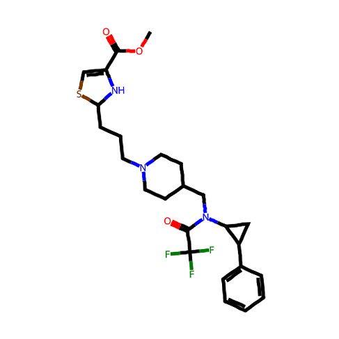 COC(=O)C1=CSC(CCCN2CCC(CN(C(=O)C(F)(F)F)C3CC3c3ccccc3)CC2)N1